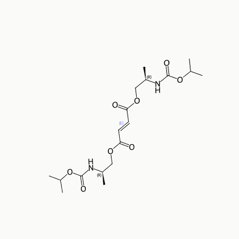 CC(C)OC(=O)N[C@H](C)COC(=O)/C=C/C(=O)OC[C@@H](C)NC(=O)OC(C)C